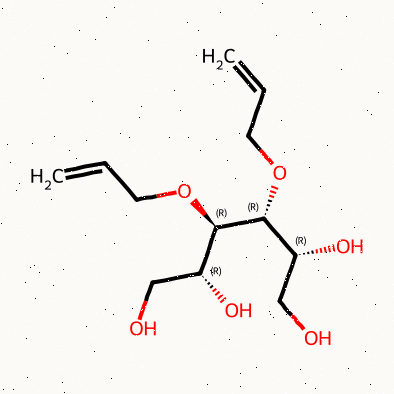 C=CCO[C@@H]([C@H](OCC=C)[C@H](O)CO)[C@H](O)CO